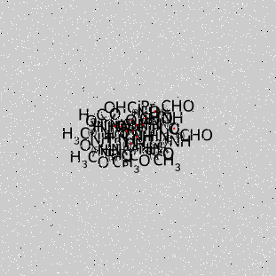 CNC(=O)[C@H](C)NC(=O)[C@H](C)NC(=O)[C@H](C)NC(=O)[C@H](C)NC(=O)[C@H](C)NC(=O)[C@H](NCC=O)NC(=O)[C@H](C)NC(=O)[C@H](C)NC(=O)[C@@H](NC(=O)[C@@H](NC(=O)[C@@H](NC(=O)[C@H](C)N)N[C@@H](C=O)CCC(N)=O)N[C@@H](C=O)CC(C)C)N[C@@H](C)C=O